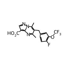 Cc1nc2c(C(=O)O)cnn2c(C)c1Cc1ccc(F)c(OC(F)(F)F)c1